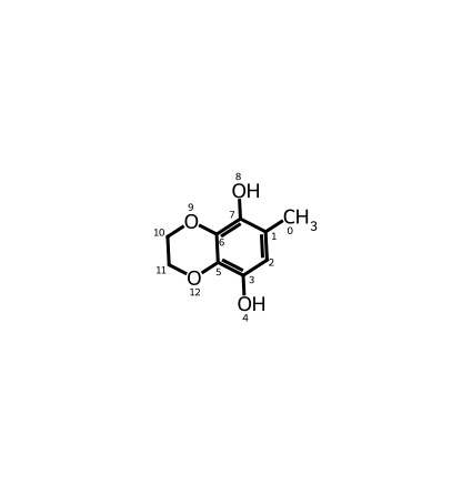 Cc1cc(O)c2c(c1O)OCCO2